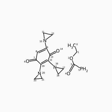 CCOC(=O)P.O=C1C=C(N2CC2)C(=O)C(N2CC2)=C1N1CC1